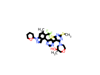 CSc1nc(N2CCOC[C@@](C)(O)C2)c2c(n1)sc1c(-c3c(C(F)(F)F)c(C)cc4c3cnn4C3CCCCO3)ncnc12